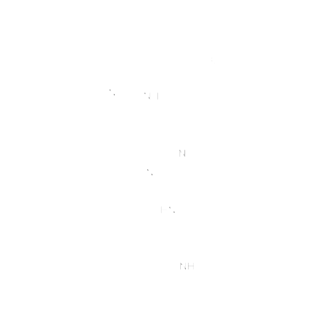 NCCNCc1ncc(-c2cnc[nH]2)c(-c2ccc(Cl)cc2Cl)n1